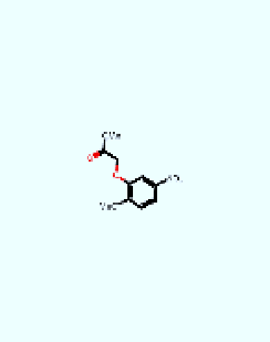 COC(=O)COc1cc([N+](=O)[O-])ccc1OC